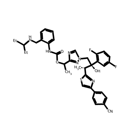 CCC(CC)NCc1ccccc1NC(=O)OC(C)c1ncn(C[C@](O)(c2cc(F)ccc2F)[C@@H](C)c2nc(-c3ccc(C#N)cc3)cs2)n1